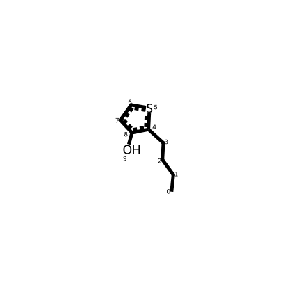 CCCCc1sccc1O